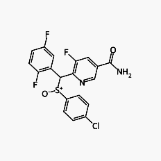 NC(=O)c1cnc(C(c2cc(F)ccc2F)[S+]([O-])c2ccc(Cl)cc2)c(F)c1